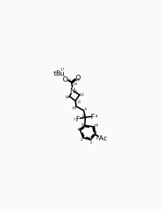 CC(=O)c1cccc(C(F)(F)CCC2CN(C(=O)OC(C)(C)C)C2)c1